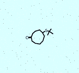 CC(C)(C)SC1CCCCCC(=O)CCC1